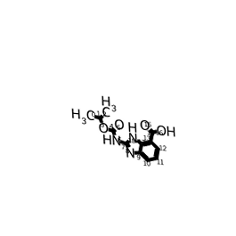 CC(C)OC(=O)Nc1nc2cccc(C(=O)O)c2[nH]1